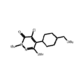 CSc1nn(C(C)(C)C)c(=O)c(Cl)c1C1CCC(COCC(C)C)CC1